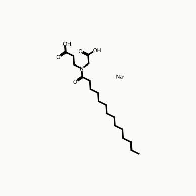 CCCCCCCCCCCCCC(=O)N(CCC(=O)O)CC(=O)O.[Na]